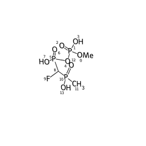 COP(=O)(O)OP(=O)(O)C(F)P(C)(=O)O